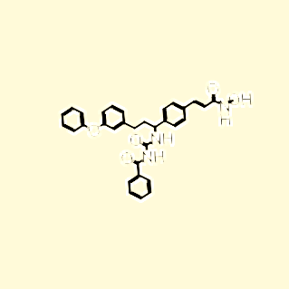 O=C(C=Cc1ccc(C(CCc2cccc(Oc3ccccc3)c2)NC(=O)NC(=O)c2ccccc2)cc1)NO